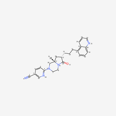 N#Cc1ccc(N2CCN3C(=O)[C@@H](CCCc4cccc5ncccc45)C[C@H]3C2)nc1